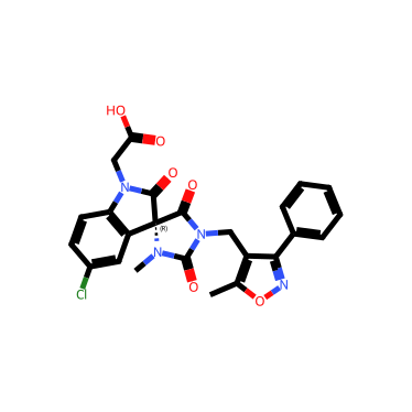 Cc1onc(-c2ccccc2)c1CN1C(=O)N(C)[C@@]2(C1=O)C(=O)N(CC(=O)O)c1ccc(Cl)cc12